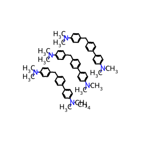 C.CN(C)c1ccc(Cc2ccc(-c3ccc(N(C)C)cc3)cc2)cc1.CN(C)c1ccc(Cc2ccc(-c3ccc(N(C)C)cc3)cc2)cc1.CN(C)c1ccc(Cc2ccc(-c3ccc(N(C)C)cc3)cc2)cc1